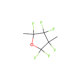 CC1(F)OC(F)(F)C(C)(F)C1(F)F